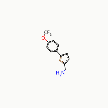 NCc1ccc(-c2ccc(OC(F)(F)F)cc2)s1